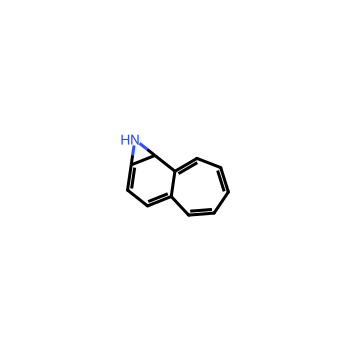 C1=CC=C2C(=CC=C3NC32)C=C1